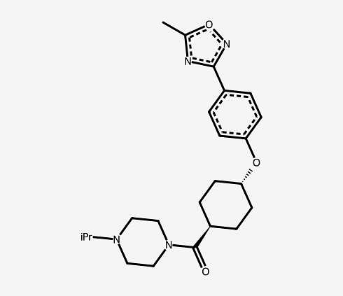 Cc1nc(-c2ccc(O[C@H]3CC[C@H](C(=O)N4CCN(C(C)C)CC4)CC3)cc2)no1